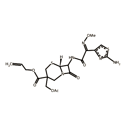 C=CCOC(=O)C1(COC(C)=O)CS[C@@H]2C(NC(=O)C(=NOC)c3csc(N)n3)C(=O)N2C1